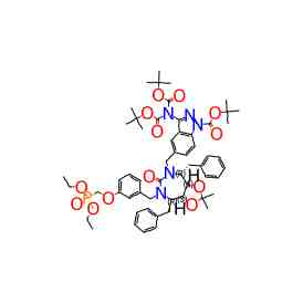 CCOP(=O)(COc1cccc(CN2C(=O)N(Cc3ccc4c(c3)c(N(C(=O)OC(C)(C)C)C(=O)OC(C)(C)C)nn4C(=O)OC(C)(C)C)[C@H](Cc3ccccc3)[C@@H]3OC(C)(C)O[C@H]3[C@H]2Cc2ccccc2)c1)OCC